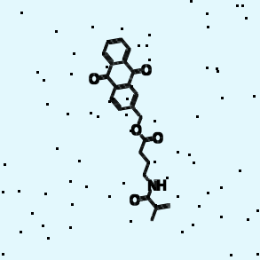 C=C(C)C(=O)NCCCC(=O)OCc1ccc2c(c1)C(=O)c1ccccc1C2=O